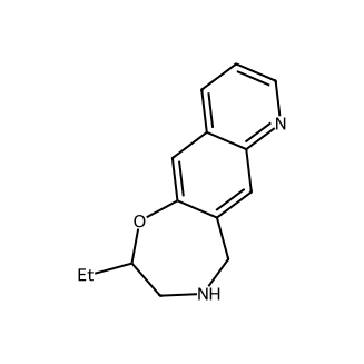 CCC1CNCc2cc3ncccc3cc2O1